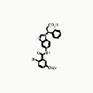 COc1ccc(Br)c(C(=O)Nc2ccc3c(c2)ncn3C(CC(=O)O)c2ccccc2)c1